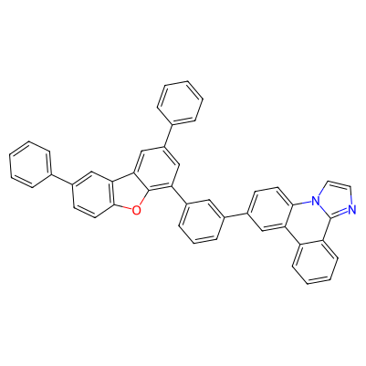 c1ccc(-c2ccc3oc4c(-c5cccc(-c6ccc7c(c6)c6ccccc6c6nccn76)c5)cc(-c5ccccc5)cc4c3c2)cc1